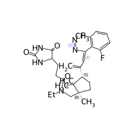 C=C(/C=C(\N=N/C)c1c(F)cccc1F)[C@@H]1CC[C@@](C)(CN(CC)C(=O)CCC2NC(=O)NC2=O)C1(C)C